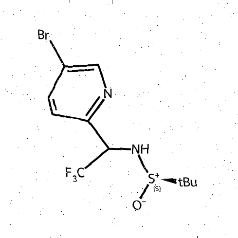 CC(C)(C)[S@@+]([O-])NC(c1ccc(Br)cn1)C(F)(F)F